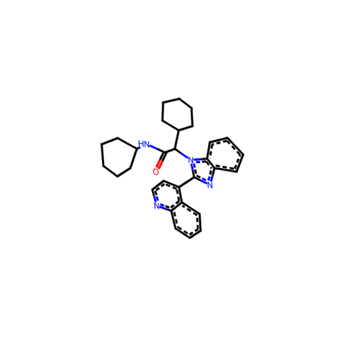 O=C(NC1CCCCC1)C(C1CCCCC1)n1c(-c2ccnc3ccccc23)nc2ccccc21